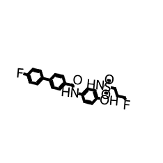 O=C(Nc1ccc(O)c(NS(=O)(=O)CCCF)c1)c1ccc(-c2ccc(F)cc2)cc1